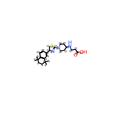 CC1(C)CCC(C)(C)c2cc(C3CSC(N4CCC(NCCC(=O)O)CC4)=N3)ccc21